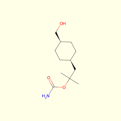 CC(C)(C[C@H]1CC[C@@H](CO)CC1)OC(N)=O